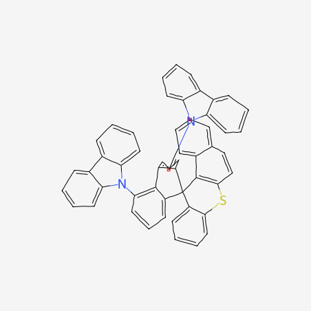 c1ccc2c(c1)Sc1ccc3ccccc3c1C21c2cc(-n3c4ccccc4c4ccccc43)ccc2-c2c(-n3c4ccccc4c4ccccc43)cccc21